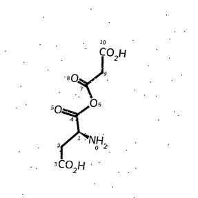 N[C@@H](CC(=O)O)C(=O)OC(=O)CC(=O)O